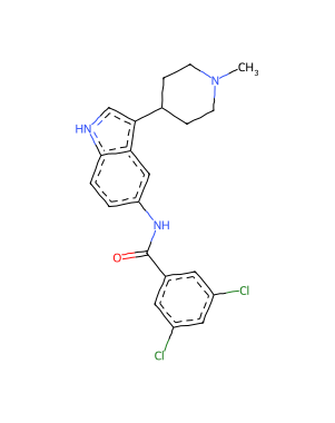 CN1CCC(c2c[nH]c3ccc(NC(=O)c4cc(Cl)cc(Cl)c4)cc23)CC1